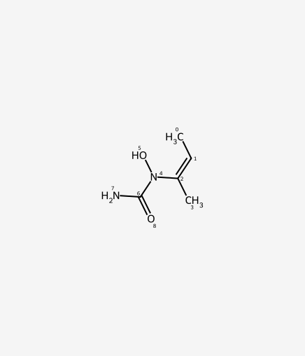 CC=C(C)N(O)C(N)=O